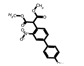 COC(=O)C(C(=O)OC)c1ccc(-c2ccc(O)cc2)cc1[N+](=O)[O-]